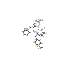 CCCCC(CC)CN(CC(CC)CCCC)C(=O)[C@H](Cc1ccccc1)/N=C/C(C)Cc1ccc(C(C)C)cc1